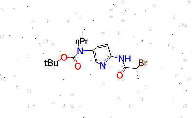 CCCN(C(=O)OC(C)(C)C)c1ccc(NC(=O)[C@@H](C)Br)nc1